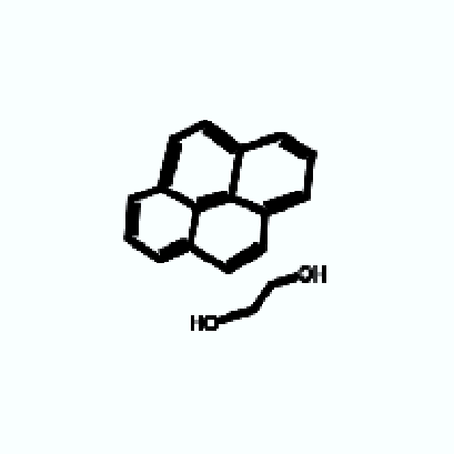 OCCO.c1cc2ccc3cccc4ccc(c1)c2c34